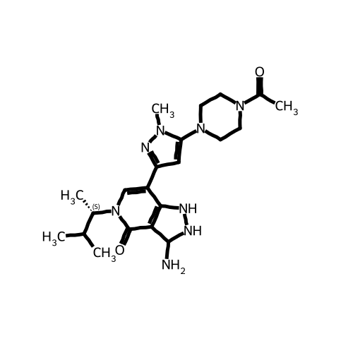 CC(=O)N1CCN(c2cc(-c3cn([C@@H](C)C(C)C)c(=O)c4c3NNC4N)nn2C)CC1